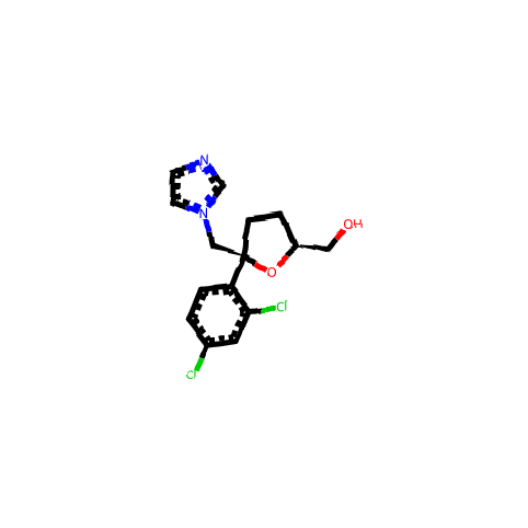 OC[C@@H]1CC[C@@](Cn2ccnc2)(c2ccc(Cl)cc2Cl)O1